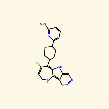 COc1cccc(C2CCC(C3=c4[nH]c5c(c4NCC=C3Cl)CN=NC=5)CC2)n1